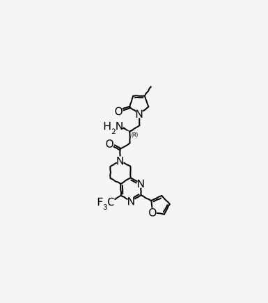 CC1=CC(=O)N(C[C@H](N)CC(=O)N2CCc3c(nc(-c4ccco4)nc3C(F)(F)F)C2)C1